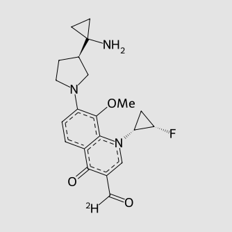 [2H]C(=O)c1cn([C@@H]2C[C@@H]2F)c2c(OC)c(N3CC[C@@H](C4(N)CC4)C3)ccc2c1=O